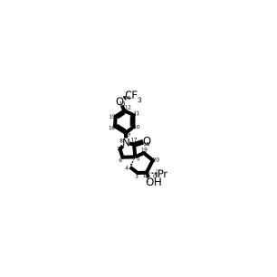 CC(C)[C@]1(O)CC[C@@]2(CCN(c3ccc(OC(F)(F)F)cc3)C2=O)CC1